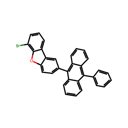 Brc1cccc2c1oc1ccc(-c3c4ccccc4c(-c4ccccc4)c4ccccc34)cc12